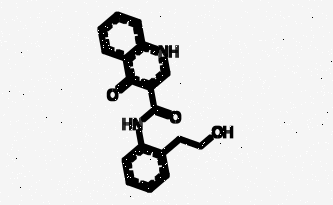 O=C(Nc1ccccc1CCO)c1c[nH]c2ccccc2c1=O